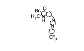 Cc1[nH]c2cc(CN3CCN(c4ccc(C(F)(F)F)cc4)CC3)ccc2c(=O)c1Br